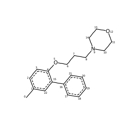 Cc1ccc(OCCCN2CCOCC2)c(-c2ccccc2)c1